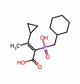 CC(=C(C(=O)O)P(=O)(O)CC1CCCCC1)C1CC1